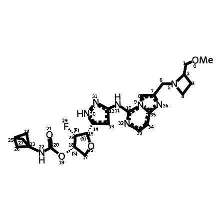 COCC1CCN1Cc1cn2c(Nc3cc([C@@H]4OC[C@H](OC(=O)NC56CC(C5)C6)[C@@H]4F)[nH]n3)nccc2n1